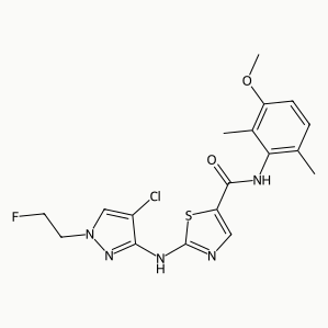 COc1ccc(C)c(NC(=O)c2cnc(Nc3nn(CCF)cc3Cl)s2)c1C